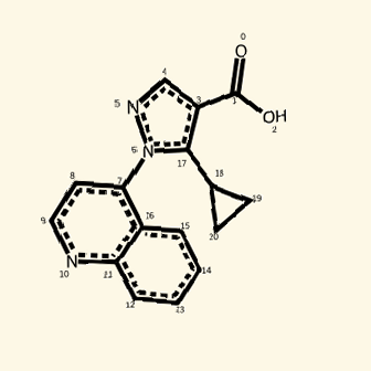 O=C(O)c1cnn(-c2ccnc3ccccc23)c1C1CC1